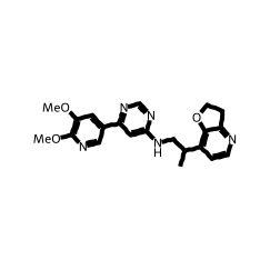 COc1cc(-c2cc(NCC(C)c3ccnc4c3OCC4)ncn2)cnc1OC